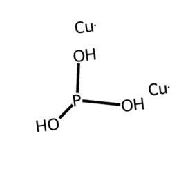 OP(O)O.[Cu].[Cu]